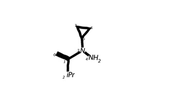 C=C(C(C)C)N(N)C1CC1